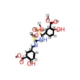 COC(=O)c1cc(/C=N/C(=S)NC(c2ccc(O)c(C(=O)OC)c2)P(=O)(OC)OC)ccc1O